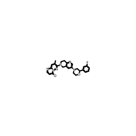 Cc1cc2nccc(=O)n2nc1N1CCc2ncc(N3CCOC(c4cccc(F)c4)C3)cc2C1